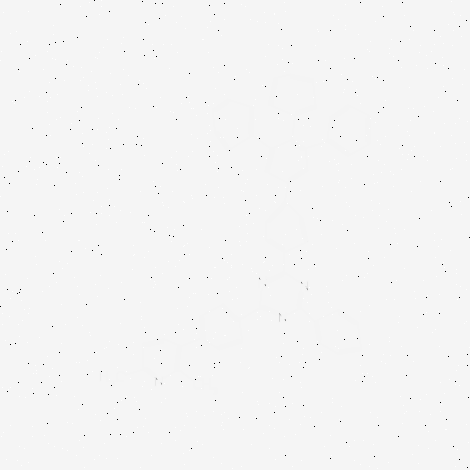 Cc1ccc(-c2ccc(-c3nc(-c4ccccc4)nc(-c4ccc(-c5cc(-c6ccccc6)c(-c6ccccc6)c(-c6ccccc6)c5)cc4)n3)cc2)c(C)n1